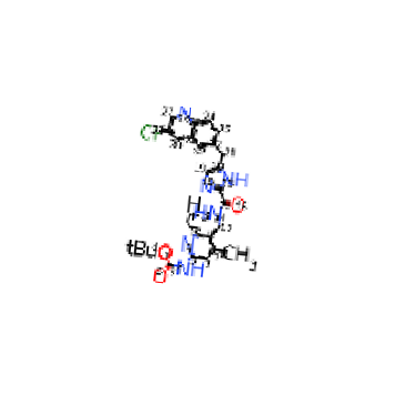 Cc1cc(NC(=O)OC(C)(C)C)nc(C)c1CNC(=O)c1ncc(Cc2ccc3ncc(Cl)cc3c2)[nH]1